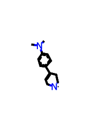 CN(C)c1ccc(C2=CC[N]CC2)cc1